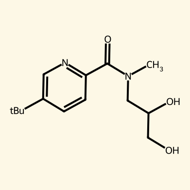 CN(CC(O)CO)C(=O)c1ccc(C(C)(C)C)cn1